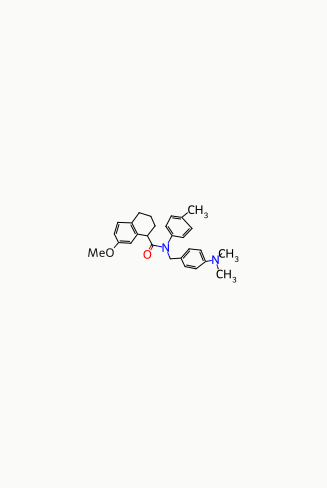 COc1ccc2c(c1)C(C(=O)N(Cc1ccc(N(C)C)cc1)c1ccc(C)cc1)CCC2